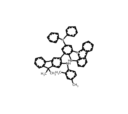 Cc1ccc(Nc2cc3c(cc2-c2cc(N(c4ccccc4)c4ccccc4)cc4c2Bc2cccc5c6ccccc6n-4c25)-c2ccccc2C3(C)C)c(C)c1